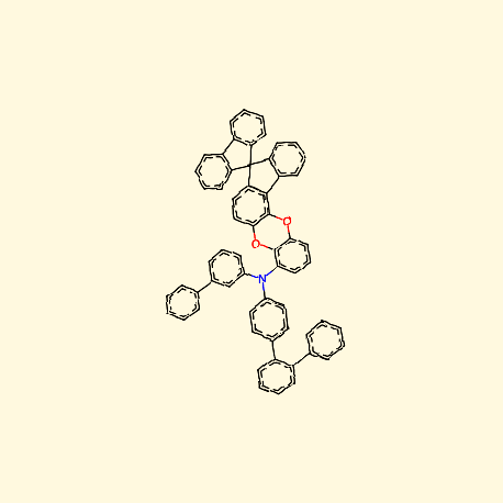 c1ccc(-c2cccc(N(c3ccc(-c4ccccc4-c4ccccc4)cc3)c3cccc4c3Oc3ccc5c(c3O4)-c3ccccc3C53c4ccccc4-c4ccccc43)c2)cc1